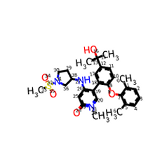 Cc1cccc(C)c1Oc1ccc(C(C)(C)O)cc1-c1cn(C)c(=O)cc1NC1CCN(S(C)(=O)=O)C1